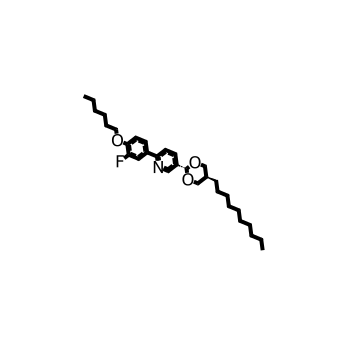 CCCCCCCCCC[C@H]1CO[C@H](c2ccc(-c3ccc(OCCCCCC)c(F)c3)nc2)OC1